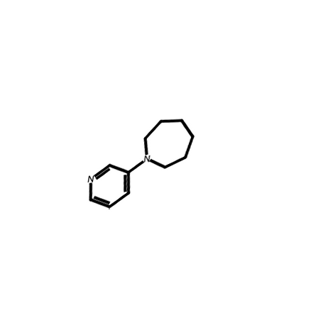 [c]1cncc(N2CCCCCC2)c1